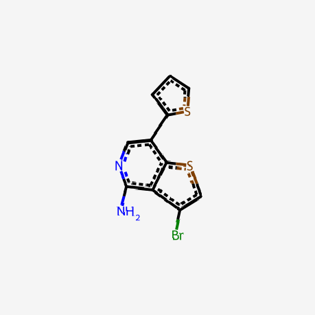 Nc1ncc(-c2cccs2)c2scc(Br)c12